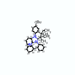 C=CC1(C)c2cc(C(C)(C)C)ccc2N2c3cccnc3N(c3ccccc3-c3ccccc3)C2C1(C)C